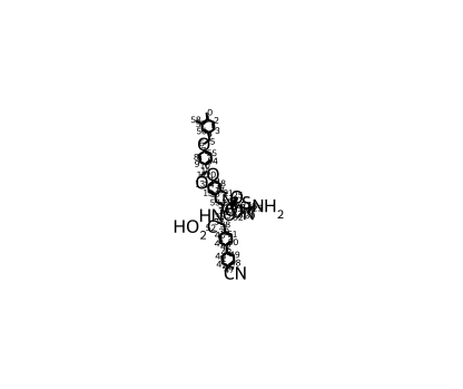 Cc1ccc(COc2ccc([C@H]3COc4cc5c(cc4O3)CN(S(=O)(=O)c3sc(N)nc3C)C(C(=O)N[C@@H](Cc3ccc(-c4ccc(C#N)cc4)cc3)C(=O)O)C5)cc2)cc1C